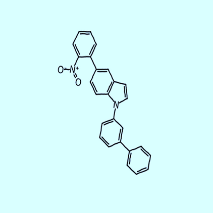 O=[N+]([O-])c1ccccc1-c1ccc2c(ccn2-c2cccc(-c3ccccc3)c2)c1